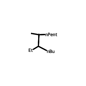 CCCCC[C](C)C(CC)CCCC